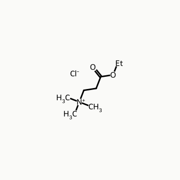 CCOC(=O)CC[N+](C)(C)C.[Cl-]